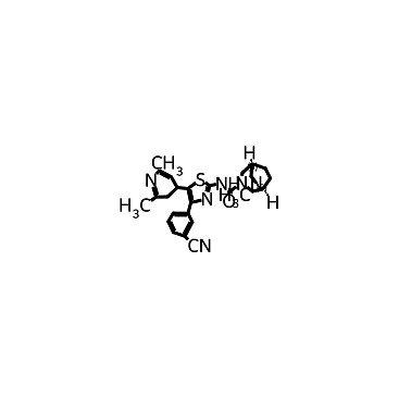 CC1=CC(c2sc(NC(=O)N3C[C@H]4CC[C@@H](C3)N(C)C4)nc2-c2cccc(C#N)c2)CC(C)=N1